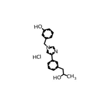 CC(O)Cc1cccc(-c2cn(Cc3cccc(O)c3)cn2)c1.Cl